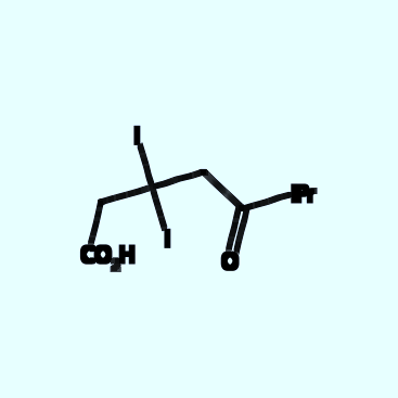 CC(C)C(=O)CC(I)(I)CC(=O)O